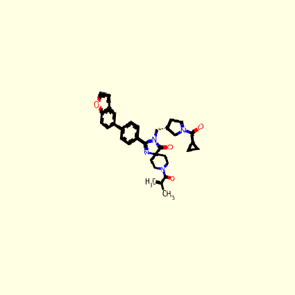 CC(C)C(=O)N1CCC2(CC1)N=C(c1ccc(-c3ccc4occc4c3)cc1)N(C[C@@H]1CCN(C(=O)C3CC3)C1)C2=O